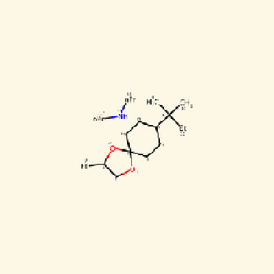 CCC1COC2(CCC(C(C)(C)CC)CC2)O1.CCCNCCC